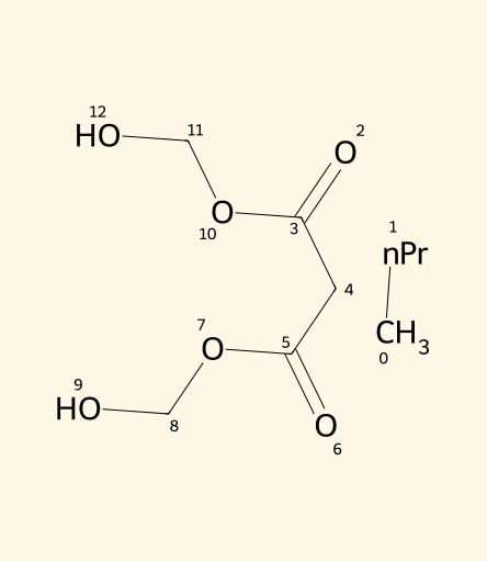 CCCC.O=C(CC(=O)OCO)OCO